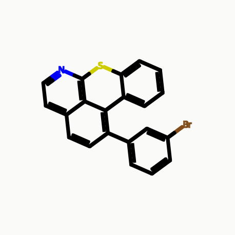 Brc1cccc(-c2ccc3ccnc4c3c2-c2ccccc2S4)c1